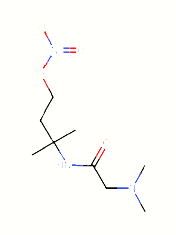 CN(C)CC(=O)NC(C)(C)CCO[N+](=O)[O-]